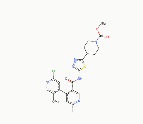 COc1cnc(Cl)cc1-c1cc(C)ncc1C(=O)Nc1nnc(C2CCN(C(=O)OC(C)(C)C)CC2)s1